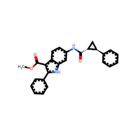 COC(=O)c1c(-c2ccccc2)[nH]c2cc(NC(=O)[C@@H]3C[C@H]3c3ccccc3)ccc12